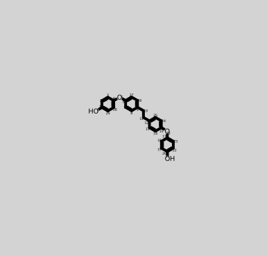 Oc1ccc(Oc2ccc(CCc3ccc(Oc4ccc(O)cc4)cc3)cc2)cc1